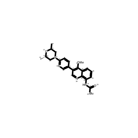 COc1c(-c2ccc(N3CC(C)O[C@@H](C)C3)nc2)cnc2c(NC(=O)C(C)(C)C)cccc12